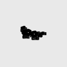 CC(=O)O[C@H]1C2CCC3(OCCO3)[C@@]2(C)CCC1[C@@]1(C)CCC(O[Si](C)(C)C(C)(C)C)C[C@@H]1C=O